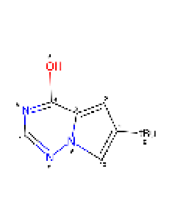 CC(C)(C)c1cc2c(O)ncnn2c1